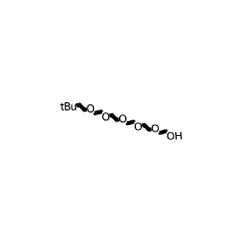 CC(C)(C)CCOCCOCCOCCOCCOCCO